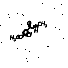 CNCCC(=C=O)c1ccc(OC)cc1.Cl